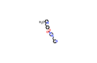 Cc1cccnc1Cc1ccc(OC(=O)N2CCN(CCc3cccnc3)CC2)cc1